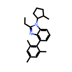 CCc1nc2c(-c3c(C)cc(C)cc3C)cccc2n1C1CCCC1C